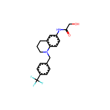 O=C(CO)Nc1ccc2c(c1)CCCN2Cc1ccc(C(F)(F)F)cc1